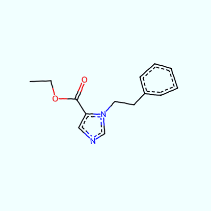 CCOC(=O)c1cncn1CCc1ccccc1